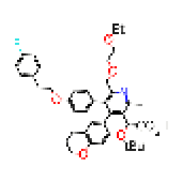 CCOCCOCc1nc(C)c([C@H](OC(C)(C)C)C(=O)O)c(-c2ccc3c(c2)CCCO3)c1-c1ccc(OCCc2ccc(F)cc2)cc1